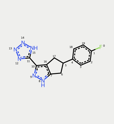 Fc1ccc(C2Cc3[nH]nc(-c4nnn[nH]4)c3C2)cc1